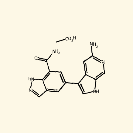 CC(=O)O.NC(=O)c1cc(-c2c[nH]c3cnc(N)cc23)cc2cn[nH]c12